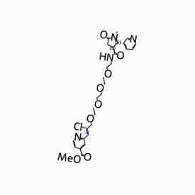 COC(=O)c1ccnc(/C=C(\Cl)COCCOCCOCCOCCNC(=O)[C@H]2CC(=O)N(C)[C@@H]2c2cccnc2)c1